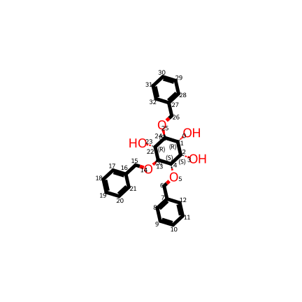 O[C@@H]1[C@H](O)[C@H](OCc2ccccc2)[C@@H](OCc2ccccc2)[C@H](O)[C@H]1OCc1ccccc1